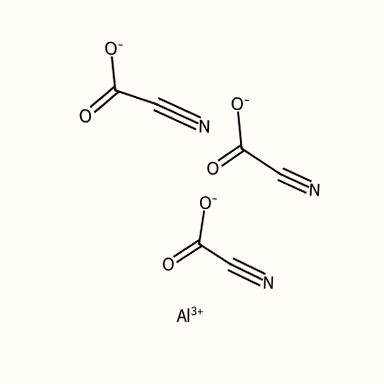 N#CC(=O)[O-].N#CC(=O)[O-].N#CC(=O)[O-].[Al+3]